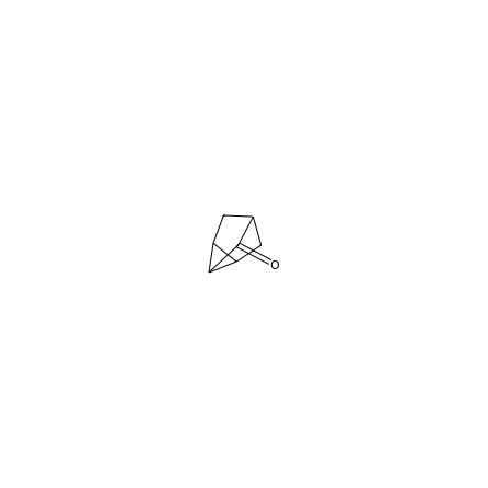 O=C1C2CC3C(C2)C13